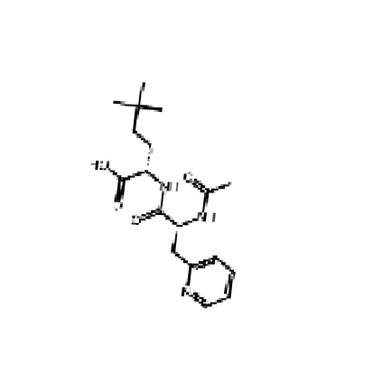 CC(=O)N[C@@H](Cc1ccccn1)C(=O)N[C@@H](CCC(C)(C)C)C(=O)O